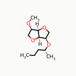 CCC[C@@H](C)O[C@@H]1CO[C@H]2[C@@H]1OC[C@H]2OC